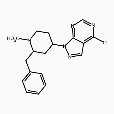 O=C(O)N1CCC(n2ncc3c(Cl)ncnc32)CC1Cc1ccccc1